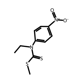 CCN(C(=S)SC)c1ccc([N+](=O)[O-])cc1